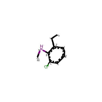 CCc1cccc(Cl)c1PC